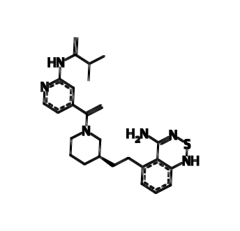 C=C(Nc1cc(C(=C)N2CCC[C@H](CCc3cccc4c3C(N)=NSN4)C2)ccn1)C(C)C